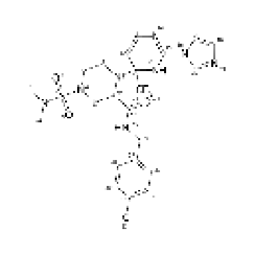 CN(C)S(=O)(=O)N1CCN(C2(C(F)(F)F)C=CN=C(n3ccnc3)N2)C(C(=O)NCc2ccc(Cl)cc2)C1